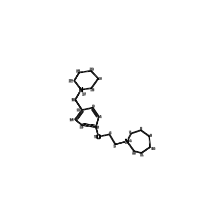 c1cc(OCCN2CCCCCC2)ccc1CN1CCCCC1